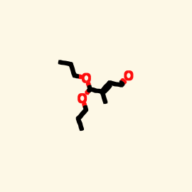 CCCOC(OCCC)C(C)=CC=O